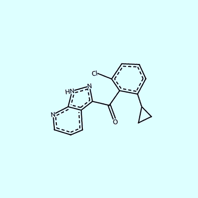 O=C(c1c(Cl)cccc1C1CC1)c1n[nH]c2ncccc12